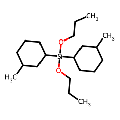 CCCO[Si](OCCC)(C1CCCC(C)C1)C1CCCC(C)C1